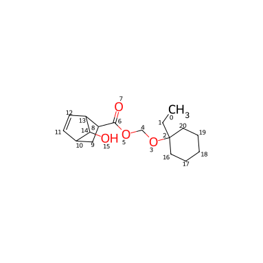 CCC1(OCOC(=O)C2CC3C=CC2C3O)CCCCC1